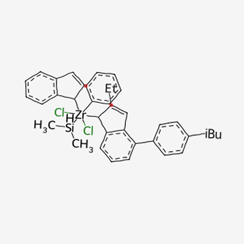 CCC1=Cc2c(-c3ccc(C(C)CC)cc3)cccc2[CH]1[Zr]([Cl])([Cl])([c]1ccccc1)([CH]1C=Cc2ccccc21)[SiH](C)C